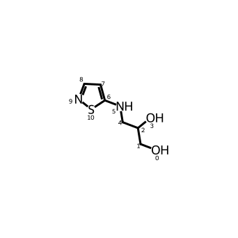 OCC(O)CNc1ccns1